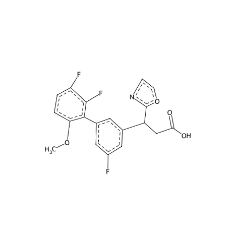 COc1ccc(F)c(F)c1-c1cc(F)cc(C(CC(=O)O)c2ncco2)c1